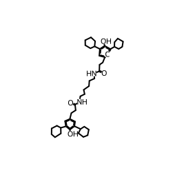 O=C(CCc1cc(C2CCCCC2)c(O)c(C2CCCCC2)c1)NCCCCCCNC(=O)CCc1cc(C2CCCCC2)c(O)c(C2CCCCC2)c1